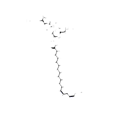 CCCCC/C=C\C/C=C\CCCCCCCCCCCC(=O)OC[C@H](COP(=O)(O)OC[C@H](N)C(=O)O)OC(=O)CCCCCCCCCCC